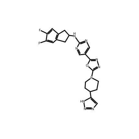 Fc1cc2c(cc1F)CC(Nc1ncc(-c3nnc(N4CCC(c5cnn[nH]5)CC4)o3)cn1)C2